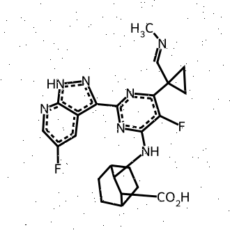 C/N=C/C1(c2nc(-c3n[nH]c4ncc(F)cc34)nc(NC3C4CCC(CC4)C3C(=O)O)c2F)CC1